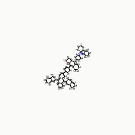 C1=Cc2c(n(-c3ccc(-c4c5ccccc5c(-c5ccc(-c6ccc7c(-c8ccc9ccccc9c8)c8ccccc8c(-c8ccc9ccccc9c8)c7c6)cc5)c5ccccc45)cc3)c3ccccc23)CC1